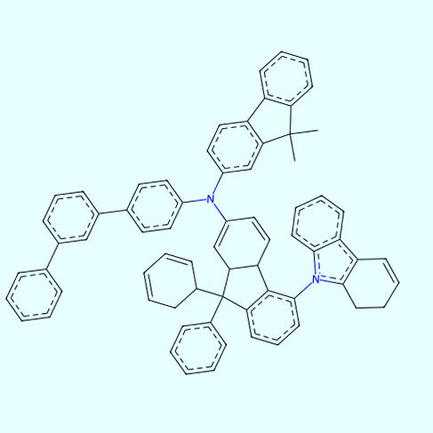 CC1(C)c2ccccc2-c2ccc(N(C3=CC4C(C=C3)c3c(-n5c6c(c7ccccc75)C=CCC6)cccc3C4(c3ccccc3)C3C=CC=CC3)c3ccc(-c4cccc(-c5ccccc5)c4)cc3)cc21